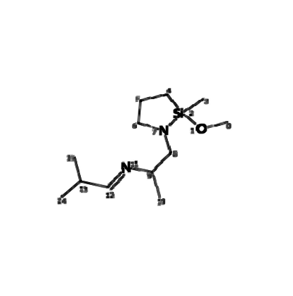 CO[Si]1(C)CCCN1CC(C)N=CC(C)C